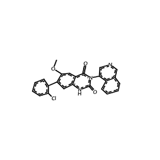 COc1cc2c(=O)n(-c3cncc4ccccc34)c(=O)[nH]c2cc1-c1ccccc1Cl